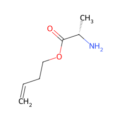 C=CCCOC(=O)[C@H](C)N